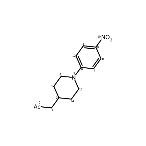 CC(=O)CC1CCN(c2ccc([N+](=O)[O-])cc2)CC1